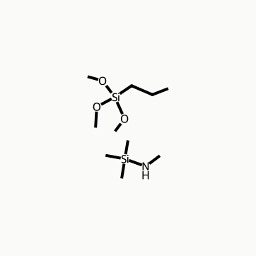 CCC[Si](OC)(OC)OC.CN[Si](C)(C)C